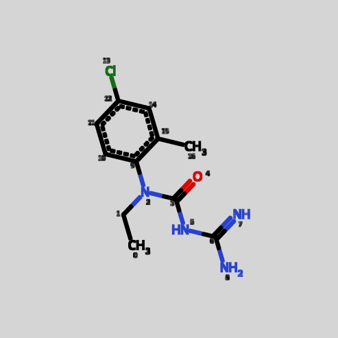 CCN(C(=O)NC(=N)N)c1ccc(Cl)cc1C